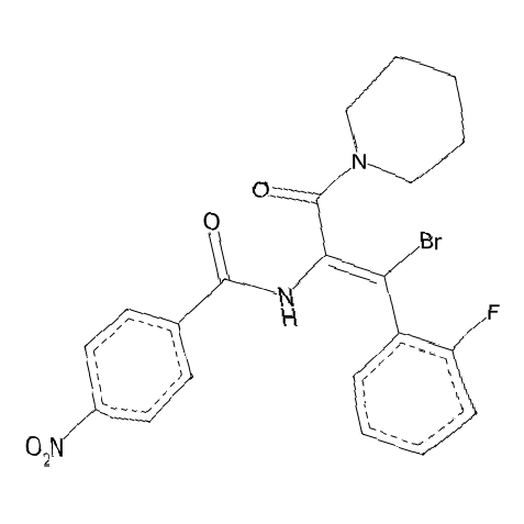 O=C(N/C(C(=O)N1CCCCC1)=C(/Br)c1ccccc1F)c1ccc([N+](=O)[O-])cc1